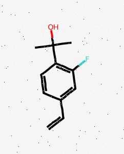 C=Cc1ccc(C(C)(C)O)c(F)c1